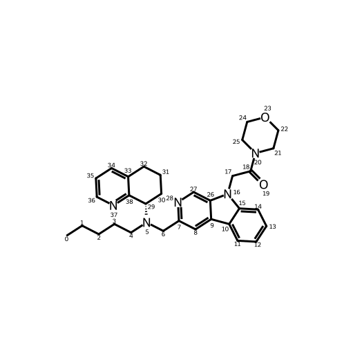 CCCCCN(Cc1cc2c3ccccc3n(CC(=O)N3CCOCC3)c2cn1)[C@H]1CCCc2cccnc21